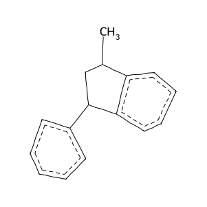 CC1CC(c2ccccc2)c2ccccc21